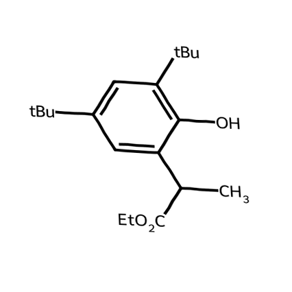 CCOC(=O)C(C)c1cc(C(C)(C)C)cc(C(C)(C)C)c1O